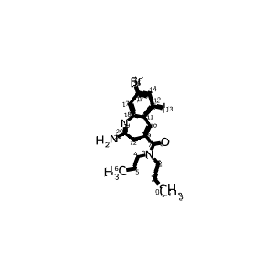 CCCN(CCC)C(=O)C1=Cc2c(I)cc(Br)cc2N=C(N)C1